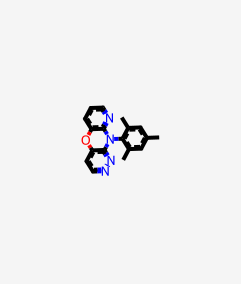 Cc1cc(C)c(N2c3ncccc3Oc3ccnnc32)c(C)c1